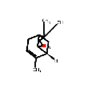 CC1=CC[C@]23C[C@H]1[C@@]2(C)CCCC3(C)C